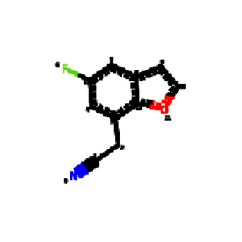 N#CCc1cc(F)cc2ccoc12